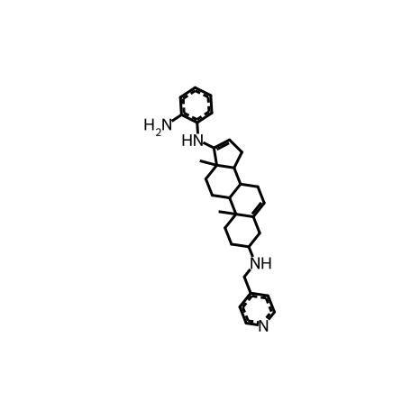 CC12CCC(NCc3ccncc3)CC1=CCC1C2CCC2(C)C(Nc3ccccc3N)=CCC12